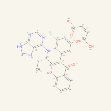 CC[C@H](Nc1ncnc2[nH]cnc12)c1oc2ccccc2c(=O)c1-c1cccc(F)c1.O=C(O)/C=C\C(=O)O